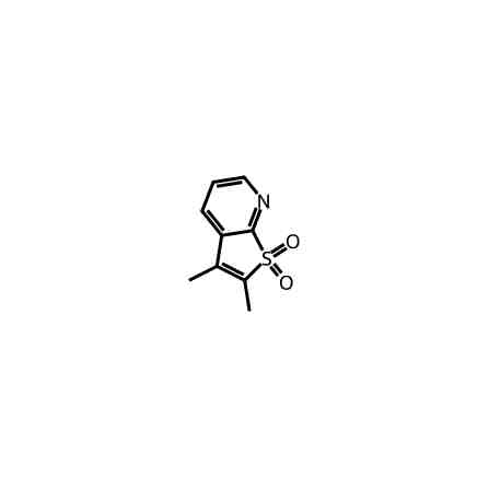 CC1=C(C)S(=O)(=O)c2ncccc21